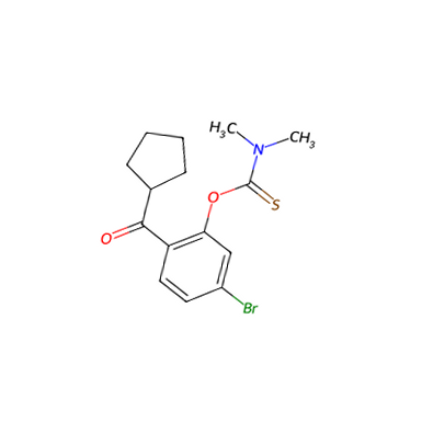 CN(C)C(=S)Oc1cc(Br)ccc1C(=O)C1CCCC1